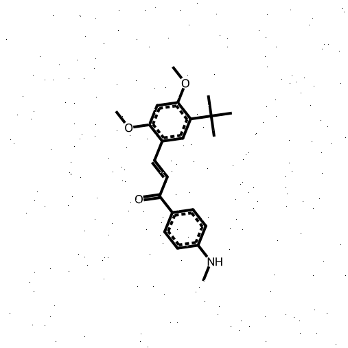 CNc1ccc(C(=O)C=Cc2cc(C(C)(C)C)c(OC)cc2OC)cc1